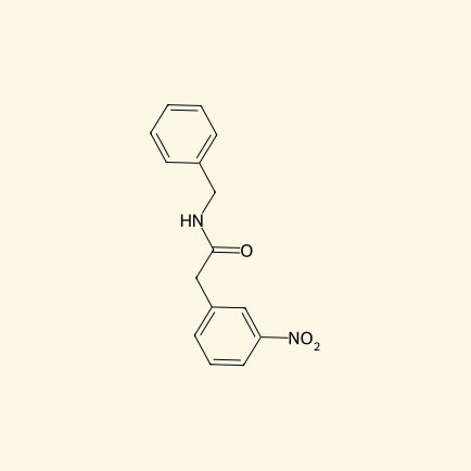 O=C(Cc1cccc([N+](=O)[O-])c1)NCc1ccccc1